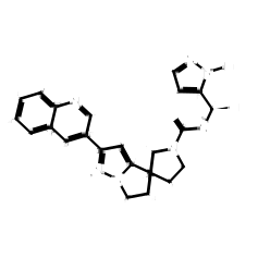 CCn1nccc1[C@@H](C)NC(=O)N1CCC2(CCn3nc(-c4cnc5ccccc5c4)cc32)C1